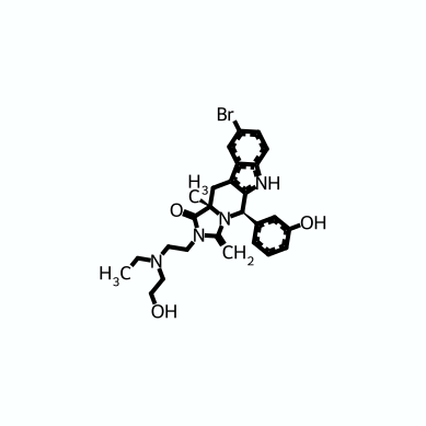 C=C1N(CCN(CC)CCO)C(=O)[C@]2(C)Cc3c([nH]c4ccc(Br)cc34)[C@@H](c3cccc(O)c3)N12